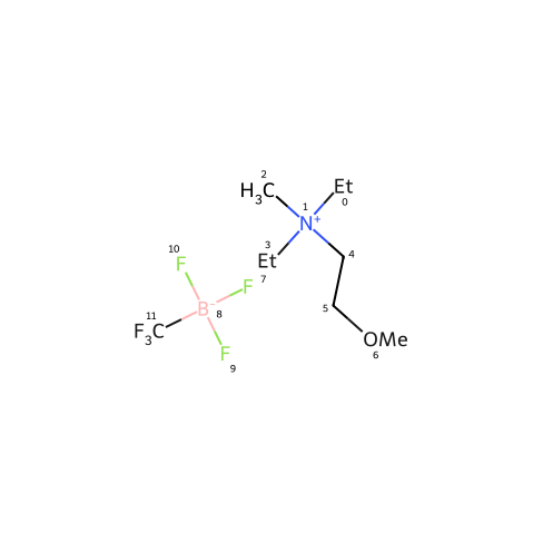 CC[N+](C)(CC)CCOC.F[B-](F)(F)C(F)(F)F